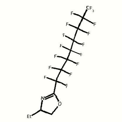 CCC1COC(C(F)(F)C(F)(F)C(F)(F)C(F)(F)C(F)(F)C(F)(F)C(F)(F)C(F)(F)F)=N1